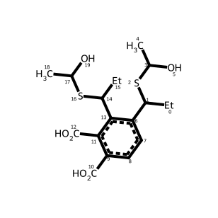 CCC(SC(C)O)c1ccc(C(=O)O)c(C(=O)O)c1C(CC)SC(C)O